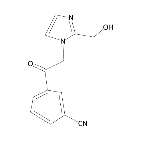 N#Cc1cccc(C(=O)Cn2ccnc2CO)c1